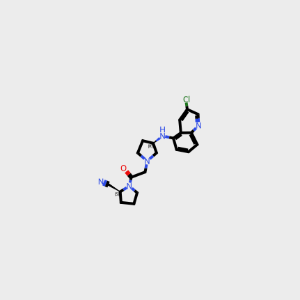 N#C[C@@H]1CCCN1C(=O)CN1CC[C@@H](Nc2cccc3ncc(Cl)cc23)C1